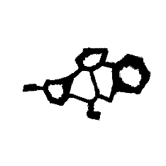 N#Cc1ccc2c(c1)-c1cccc3c1N(Cc1ccccc1-3)C2O